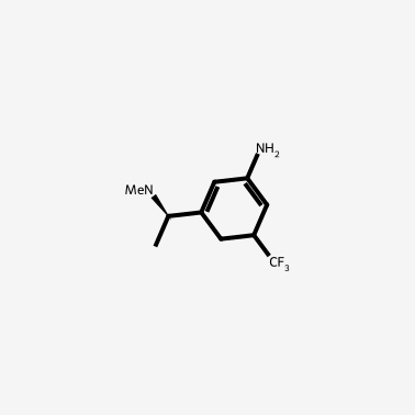 CN[C@H](C)C1=CC(N)=CC(C(F)(F)F)C1